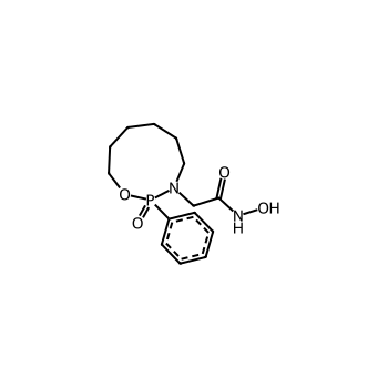 O=C(CN1CCCCCCOP1(=O)c1ccccc1)NO